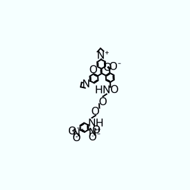 O=C(NCCOCCOCCNc1ccc([N+](=O)[O-])cc1[N+](=O)[O-])c1ccc(C(=O)[O-])c(-c2c3ccc(=[N+]4CCC4)cc-3oc3cc(N4CCC4)ccc23)c1